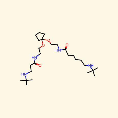 CC(C)(C)NCCCCCC(=O)NCCOC1(OCCNC(=O)CCNC(C)(C)C)CCCC1